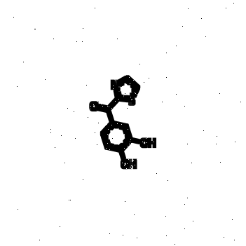 O=C(c1ccc(O)c(O)c1)c1nccs1